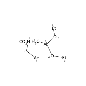 CC(=O)CC(=O)O.CC[O][Al]([CH3])[O]CC